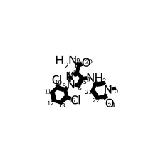 Cn1cc(Nc2cn(-c3c(Cl)cccc3Cl)nc2C(N)=O)ccc1=O